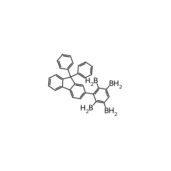 Bc1cc(B)c(B)c(-c2ccc3c(c2)C(c2ccccc2)(c2ccccc2)c2ccccc2-3)c1B